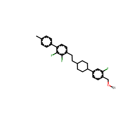 CCOCc1ccc(C2CCC(CCc3ccc(-c4ccc(C)cc4)c(F)c3F)CC2)cc1F